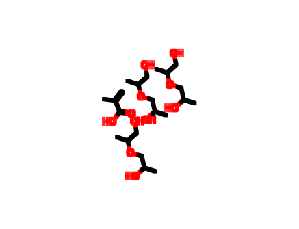 C=C(C)C(=O)O.CC(O)COC(C)CO.CC(O)COC(C)CO.CC(O)COC(C)CO